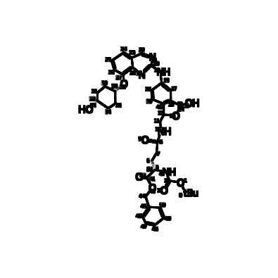 CC(C)(C)OC(=O)N[C@@H](CCC(=O)NCC1OB(O)c2cc(Nc3ncc4cccc(O[C@H]5CC[C@@H](O)CC5)c4n3)ccc21)C(=O)OCc1ccccc1